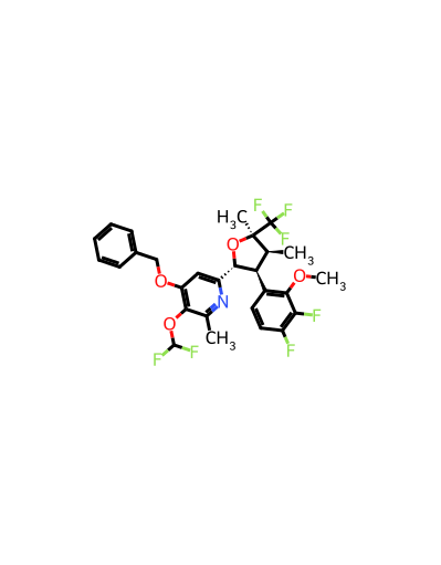 COc1c([C@H]2[C@H](c3cc(OCc4ccccc4)c(OC(F)F)c(C)n3)O[C@@](C)(C(F)(F)F)[C@H]2C)ccc(F)c1F